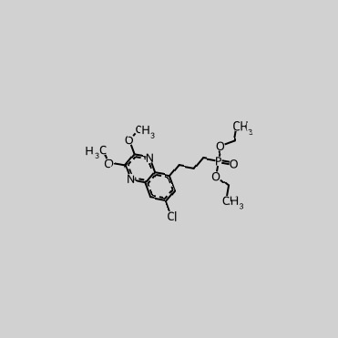 CCOP(=O)(CCCc1cc(Cl)cc2nc(OC)c(OC)nc12)OCC